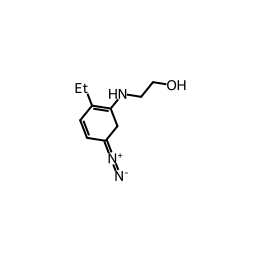 CCC1=C(NCCO)CC(=[N+]=[N-])C=C1